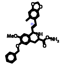 COc1cc2c(cc1OCc1ccccc1)CC(C(=O)ON)NC2/C=C/c1cc2c(cc1C)OCO2